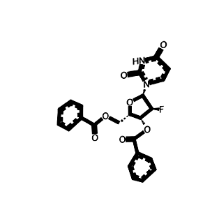 O=C(OC[C@@H]1O[C@H](n2ccc(=O)[nH]c2=O)[C@@H](F)[C@@H]1OC(=O)c1ccccc1)c1ccccc1